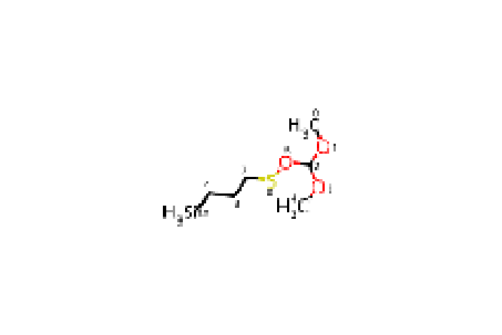 COC(OC)OSCCC[SiH3]